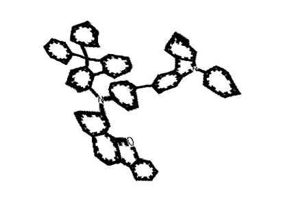 c1ccc(-n2c3ccccc3c3cc(-c4ccc(N(c5ccc6ccc7c8ccccc8oc7c6c5)c5cccc6c5-c5ccccc5C6(c5ccccc5)c5ccccc5)cc4)ccc32)cc1